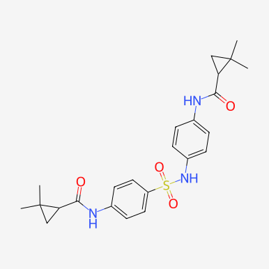 CC1(C)CC1C(=O)Nc1ccc(NS(=O)(=O)c2ccc(NC(=O)C3CC3(C)C)cc2)cc1